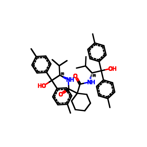 Cc1ccc(C(O)(c2ccc(C)cc2)[C@H](NC(=O)C2(C(=O)N[C@H](C(C)C)C(O)(c3ccc(C)cc3)c3ccc(C)cc3)CCCCC2)C(C)C)cc1